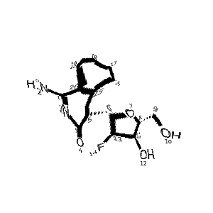 NC1=NC(=O)C([C@@H]2O[C@H](CO)[C@@H](O)[C@H]2F)c2ccccc21